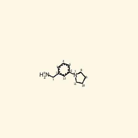 NCc1cccc(N2C[CH]CC2)c1